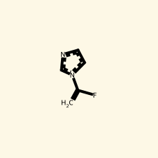 C=C(F)n1ccnc1